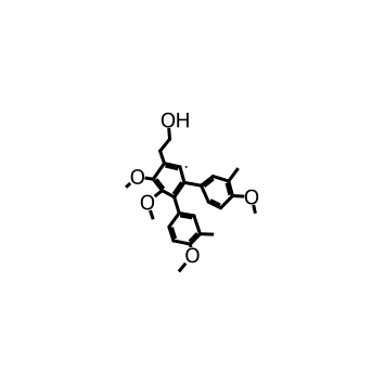 COc1ccc(-c2[c]c(CCO)c(OC)c(OC)c2-c2ccc(OC)c(C)c2)cc1C